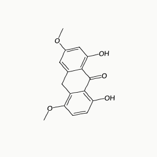 COc1cc(O)c2c(c1)Cc1c(OC)ccc(O)c1C2=O